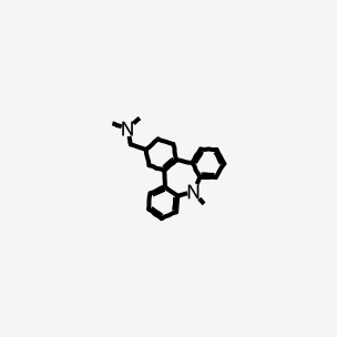 CN(C)CC1CCC2=C(C1)c1ccccc1N(C)c1ccccc12